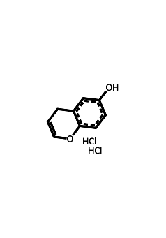 Cl.Cl.Oc1ccc2c(c1)CC=CO2